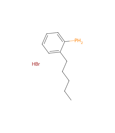 Br.CCCCCc1ccccc1P